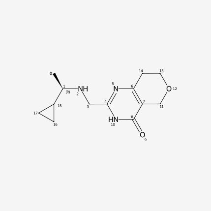 C[C@@H](NCc1nc2c(c(=O)[nH]1)COCC2)C1CC1